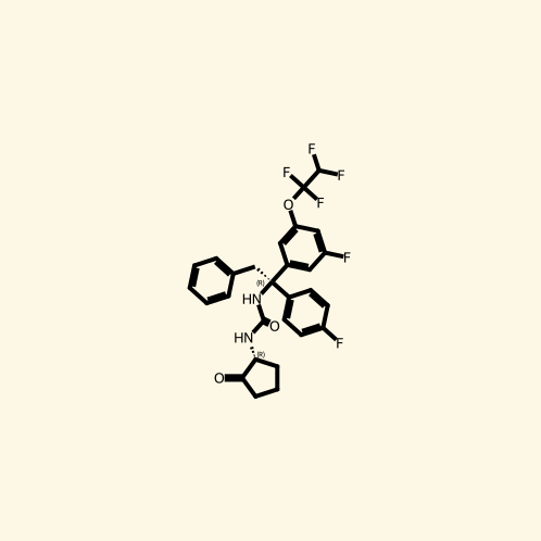 O=C(N[C@@H]1CCCC1=O)N[C@](Cc1ccccc1)(c1ccc(F)cc1)c1cc(F)cc(OC(F)(F)C(F)F)c1